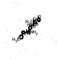 Cc1c(C(=O)NC2CCN(c3nc(-c4cccc(N5CCCN(C)CC5)n4)cnc3N)CC2)c(=O)n(-c2cccc(Cl)c2)n1C